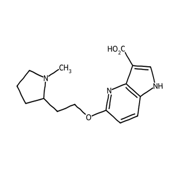 CN1CCCC1CCOc1ccc2[nH]cc(C(=O)O)c2n1